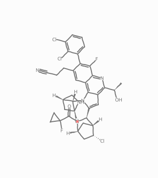 C[C@@H](O)c1nc2c(F)c(-c3cccc(Cl)c3Cl)c(CCC#N)cc2c2c1cc([C@H]1[C@H]3C[C@H](C[C@H]3Cl)N1C(=O)C1(F)CC1)n2[C@H]1[C@H]2CN[C@@H]1C2